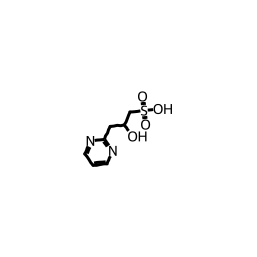 O=S(=O)(O)CC(O)Cc1ncccn1